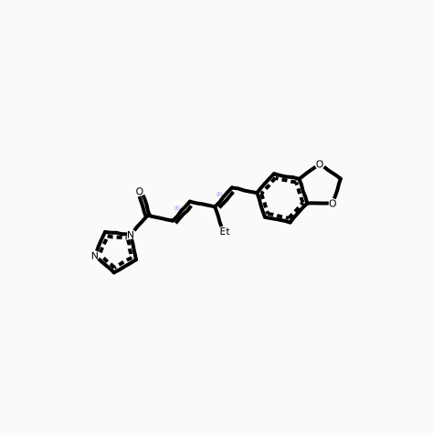 CCC(/C=C/C(=O)n1ccnc1)=C\c1ccc2c(c1)OCO2